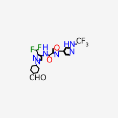 O=C[C@H]1CC[C@H](n2cc(NC(=O)c3coc(-c4ccnc(NCC(F)(F)F)c4)n3)c(C(F)F)n2)CC1